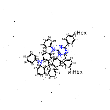 CCCCCCc1ccc(-c2nc(-c3ccc(CCCCCC)cc3)nc(-n3c4ccccc4c4cc5c(cc43)C(c3ccccc3)(c3ccccc3)c3ccccc3N5c3ccccc3)n2)cc1